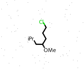 CO[C](CCCCl)CC(C)C